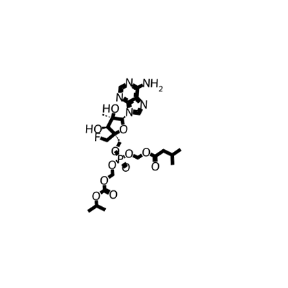 CC(C)CC(=O)OCOP(=O)(OCOC(=O)OC(C)C)OC[C@@]1(CF)O[C@@H](n2cnc3c(N)ncnc32)[C@](C)(O)[C@@H]1O